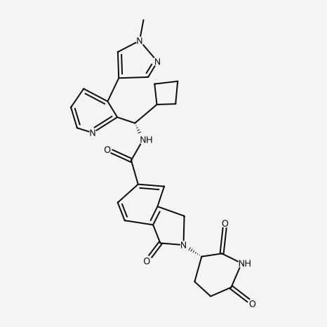 Cn1cc(-c2cccnc2[C@@H](NC(=O)c2ccc3c(c2)CN([C@H]2CCC(=O)NC2=O)C3=O)C2CCC2)cn1